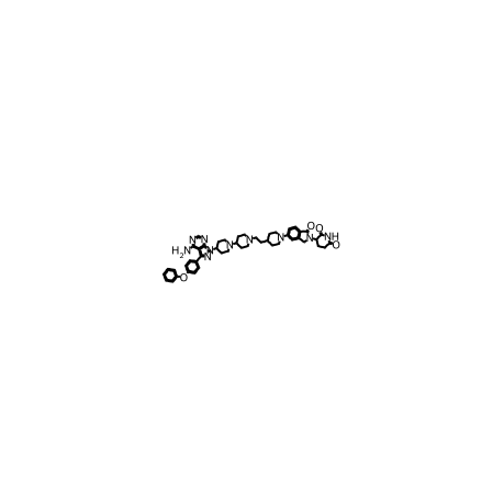 Nc1ncnc2c1c(-c1ccc(Oc3ccccc3)cc1)nn2C1CCN(C2CCN(CCC3CCN(c4ccc5c(c4)CN(C4CCC(=O)NC4=O)C5=O)CC3)CC2)CC1